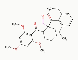 CCc1cccc(CC)c1C(=O)C1(P=O)CCCCC1C(=O)c1c(OC)cc(OC)cc1OC